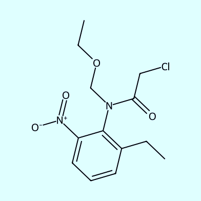 CCOCN(C(=O)CCl)c1c(CC)cccc1[N+](=O)[O-]